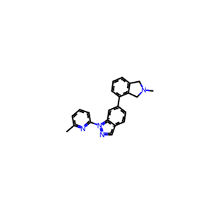 Cc1cccc(-n2ncc3ccc(-c4cccc5c4CN(C)C5)cc32)n1